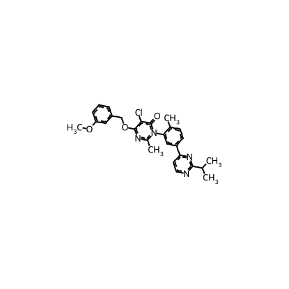 COc1cccc(COc2nc(C)n(-c3cc(-c4ccnc(C(C)C)n4)ccc3C)c(=O)c2Cl)c1